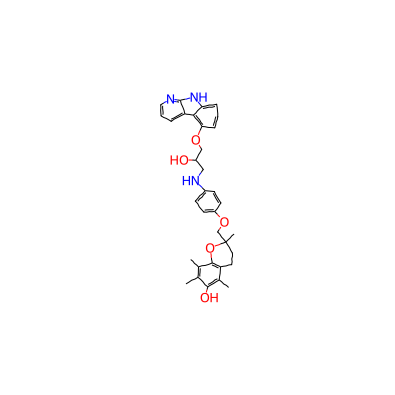 Cc1c(C)c2c(c(C)c1O)CCC(C)(COc1ccc(NCC(O)COc3cccc4[nH]c5ncccc5c34)cc1)O2